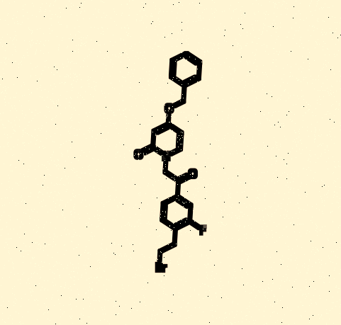 O=C(Cn1ccc(OCc2ccccc2)cc1=O)c1ccc(CCBr)c(F)c1